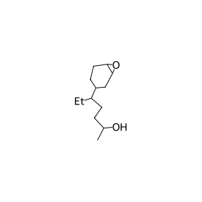 CCC(CCC(C)O)C1CCC2OC2C1